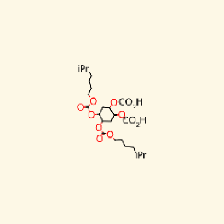 CC(C)CCCCOC(=O)OC1CC(OC(=O)O)C(OC(=O)O)CC1OC(=O)OCCCCC(C)C